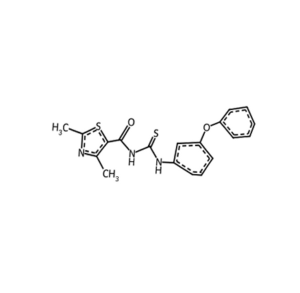 Cc1nc(C)c(C(=O)NC(=S)Nc2cccc(Oc3ccccc3)c2)s1